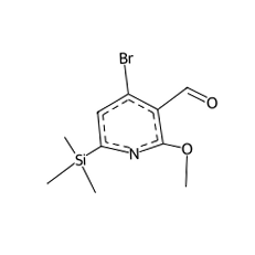 COc1nc([Si](C)(C)C)cc(Br)c1C=O